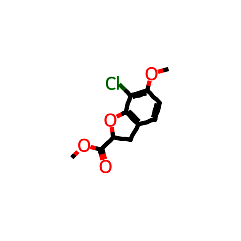 COC(=O)C1Cc2ccc(OC)c(Cl)c2O1